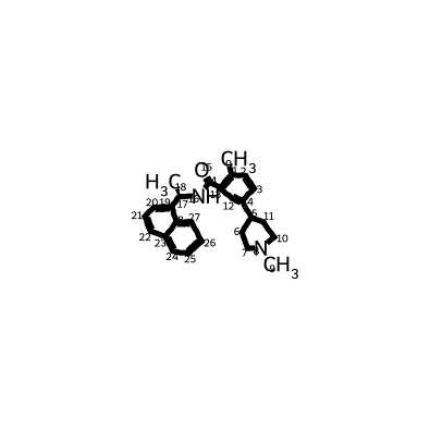 Cc1ccc(C2CCN(C)CC2)cc1C(=O)N[C@H](C)c1cccc2ccccc12